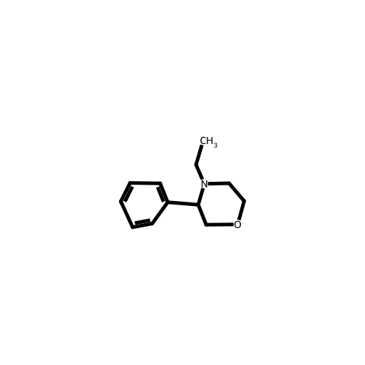 CCN1CCOCC1c1ccccc1